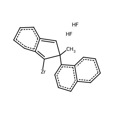 CC1(c2cccc3ccccc23)C=c2ccccc2=[C]1[Zr].F.F